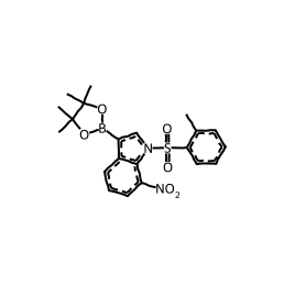 Cc1ccccc1S(=O)(=O)n1cc(B2OC(C)(C)C(C)(C)O2)c2cccc([N+](=O)[O-])c21